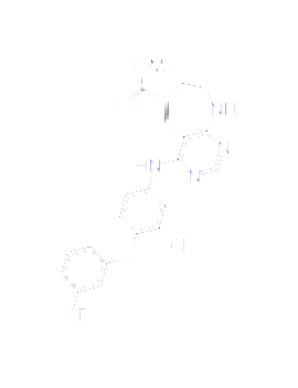 COC(=O)C1=Cc2c(ncnc2Nc2ccc(Sc3cccc(C(F)(F)F)c3)c(Cl)c2)NCC1